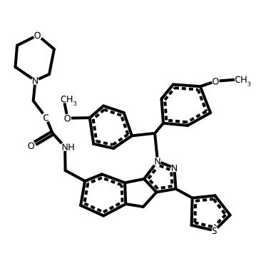 COc1ccc(C(c2ccc(OC)cc2)n2nc(-c3ccsc3)c3c2-c2cc(CNC(=O)CCN4CCOCC4)ccc2C3)cc1